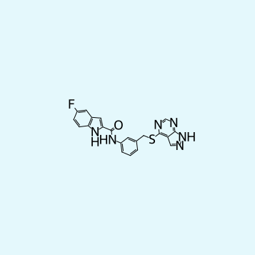 O=C(Nc1cccc(CSc2ncnc3[nH]ncc23)c1)c1cc2cc(F)ccc2[nH]1